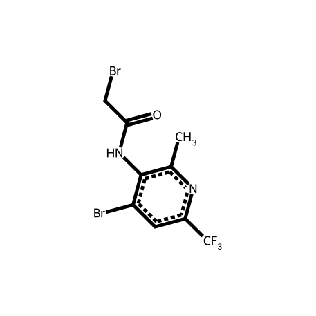 Cc1nc(C(F)(F)F)cc(Br)c1NC(=O)CBr